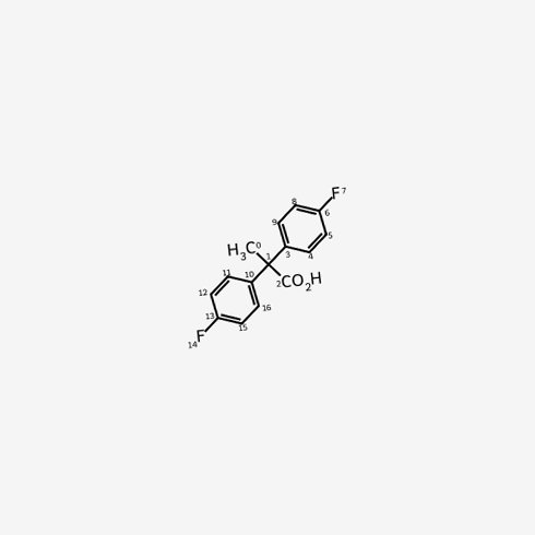 CC(C(=O)O)(c1ccc(F)cc1)c1ccc(F)cc1